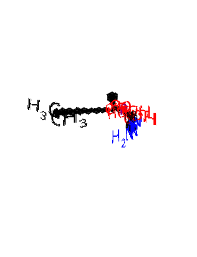 CC(C)CCCCCCCCCCCCCCOC[C@H](COP(=O)(O)OC[C@H]1O[C@@](C#N)(c2ccc3c(N)ncnn23)[C@H](O)[C@@H]1O)OCc1ccccc1